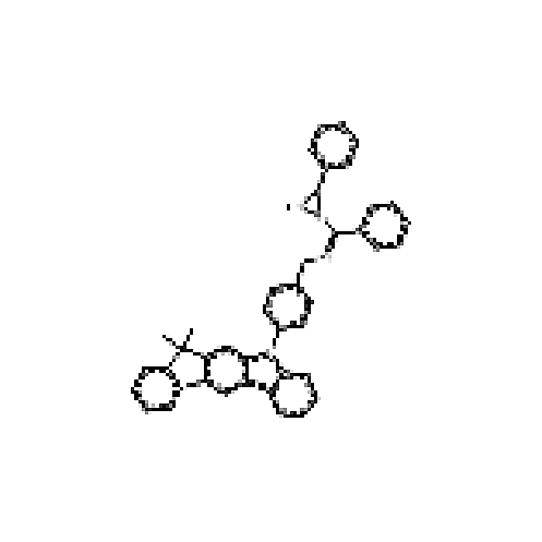 CC1(C)c2ccccc2-c2cc3c4ccccc4n(-c4ccc(C/N=C(/c5ccccc5)N5NC5c5ccccc5)cc4)c3cc21